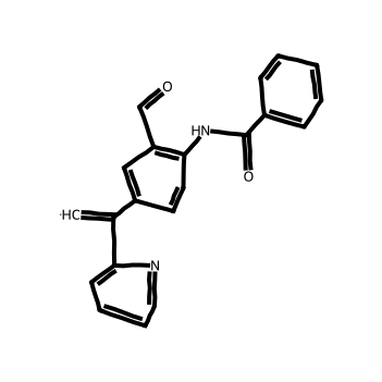 [CH]=C(c1ccc(NC(=O)c2ccccc2)c(C=O)c1)c1ccccn1